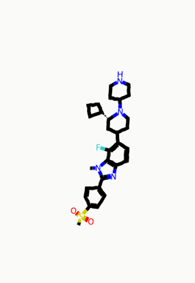 Cn1c(-c2ccc(S(C)(=O)=O)cc2)nc2ccc(C3CCN(C4CCNCC4)[C@@H](C4CCC4)C3)c(F)c21